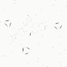 CC1C(OCc2ccccc2)[C@H](C)CO[C@H]1O[C@H]1C(C)O[C@@H](OC2C(OCc3ccccc3)C(N=[N+]=[N-])[C@@H](COCc3ccccc3)O[C@@H]2OC(=O)C(Cl)(Cl)Cl)C2OC(C)(C)OC21